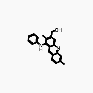 Cc1ccc2cc3c(Nc4ccccc4)c(C)c(CO)cc3nc2c1